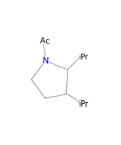 CC(=O)N1CCC(C(C)C)C1C(C)C